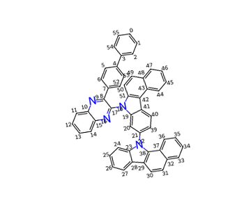 c1ccc(-c2ccc(-c3nc4ccccc4nc3-n3c4cc(-n5c6ccccc6c6ccc7ccccc7c65)ccc4c4c5ccccc5ccc43)cc2)cc1